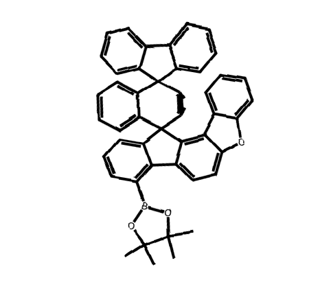 CC1(C)OB(c2cccc3c2-c2ccc4oc5ccccc5c4c2C32c3ccccc3C3(c4ccccc4-c4ccccc43)c3ccccc32)OC1(C)C